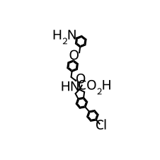 Nc1cccc(COc2ccc(CC(=O)NC3(C(=O)O)Cc4ccc(-c5ccc(Cl)cc5)cc4C3)cc2)c1